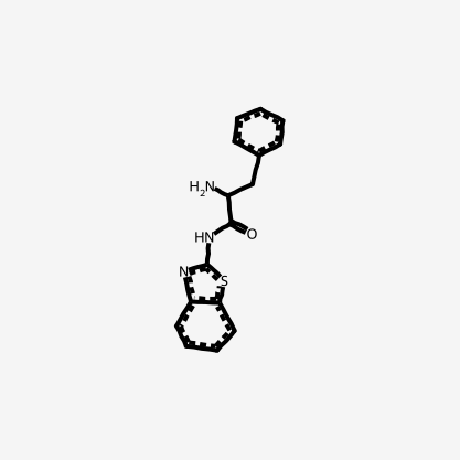 NC(Cc1ccccc1)C(=O)Nc1nc2ccccc2s1